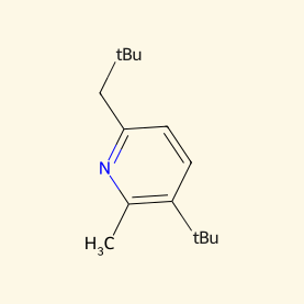 Cc1nc(CC(C)(C)C)ccc1C(C)(C)C